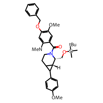 CNc1cc(OCc2ccccc2)c(OC)cc1C(=O)N1CCC2C(c3ccc(OC)cc3)[C@H]2[C@H]1CO[Si](C)(C)C(C)(C)C